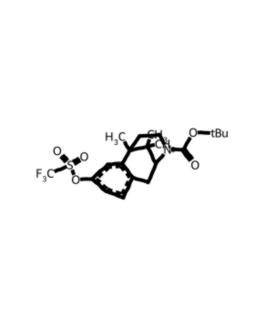 CC(C)(C)OC(=O)N1CCC2(C)c3cc(OS(=O)(=O)C(F)(F)F)ccc3CC1C2(C)C